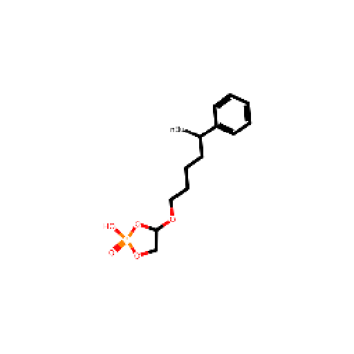 CCCCC(CCCCOC1COP(=O)(O)O1)c1ccccc1